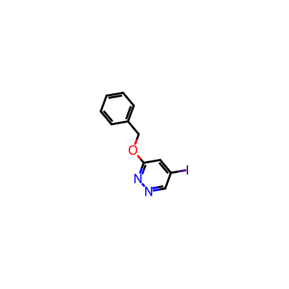 Ic1cnnc(OCc2ccccc2)c1